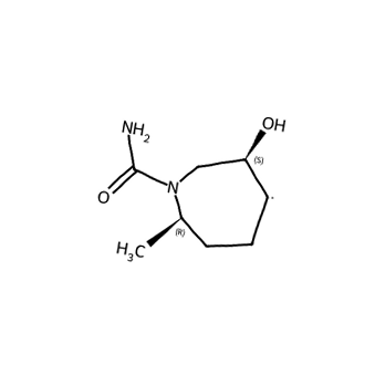 C[C@@H]1CC[CH][C@H](O)CN1C(N)=O